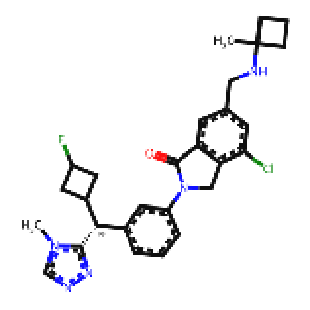 Cn1cnnc1[C@@H](c1cccc(N2Cc3c(Cl)cc(CNC4(C)CCC4)cc3C2=O)c1)C1CC(F)C1